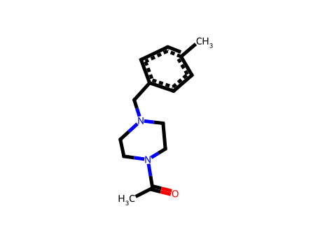 CC(=O)N1CCN(Cc2ccc(C)cc2)CC1